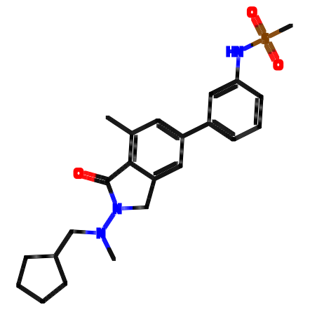 Cc1cc(-c2cccc(NS(C)(=O)=O)c2)cc2c1C(=O)N(N(C)CC1CCCC1)C2